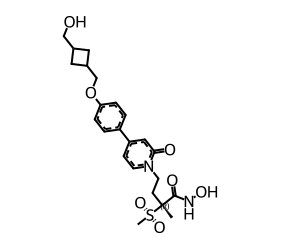 C[C@@](CCn1ccc(-c2ccc(OCC3CC(CO)C3)cc2)cc1=O)(C(=O)NO)S(C)(=O)=O